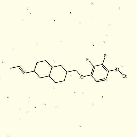 C/C=C/C1CCC2CC(COc3ccc(OCC)c(F)c3F)CCC2C1